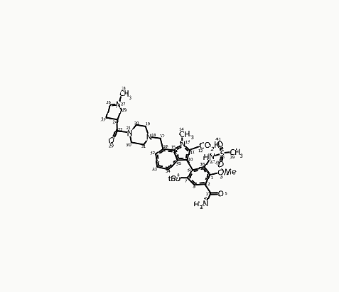 COc1c(C(N)=O)cc(C(C)(C)C)c(-c2c(C(=O)O)n(C)c3c(CN4CCN(C(=O)C5CCN(C)C5)CC4)cccc23)c1NS(C)(=O)=O